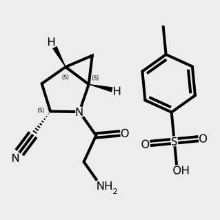 Cc1ccc(S(=O)(=O)O)cc1.N#C[C@@H]1C[C@@H]2C[C@@H]2N1C(=O)CN